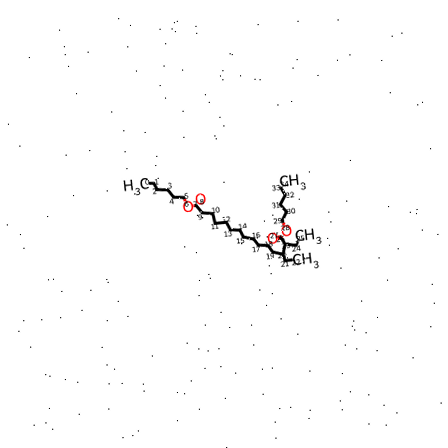 CCCCCCOC(=O)CCCCCCCCCCCC(CC)C(CC)C(=O)OCCCCCC